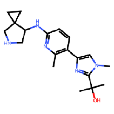 Cc1nc(NC2CNCC23CC3)ccc1-c1cn(C)c(C(C)(C)O)n1